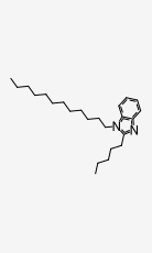 CCCCCCCCCCCCn1c(CCCCC)nc2ccccc21